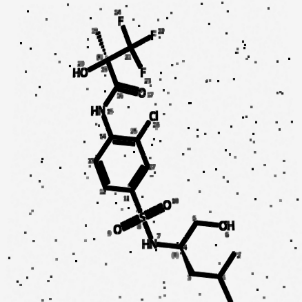 CC(C)C[C@H](CO)NS(=O)(=O)c1ccc(NC(=O)[C@@](C)(O)C(F)(F)F)c(Cl)c1